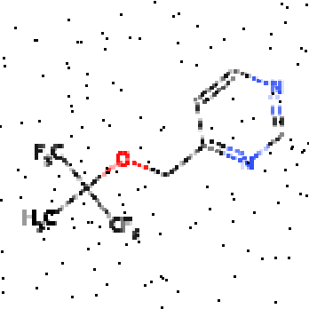 CC(OCc1ccncn1)(C(F)(F)F)C(F)(F)F